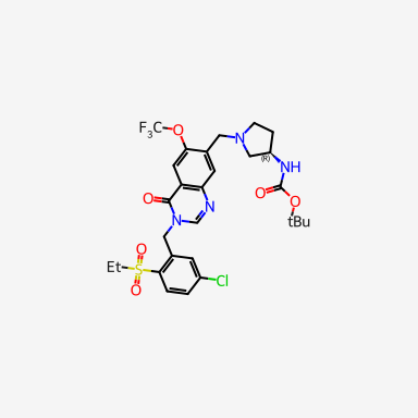 CCS(=O)(=O)c1ccc(Cl)cc1Cn1cnc2cc(CN3CC[C@@H](NC(=O)OC(C)(C)C)C3)c(OC(F)(F)F)cc2c1=O